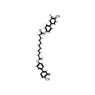 N#Cc1ccc(-c2ccc(OC(=O)CCCCCCCCCC(=O)Oc3ccc(-c4ccc(C#N)c(F)c4)cc3)cc2)cc1F